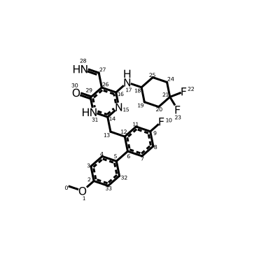 COc1ccc(-c2ccc(F)cc2Cc2nc(NC3CCC(F)(F)CC3)c(C=N)c(=O)[nH]2)cc1